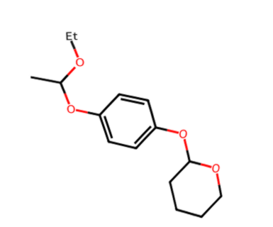 CCOC(C)Oc1ccc(OC2CCCCO2)cc1